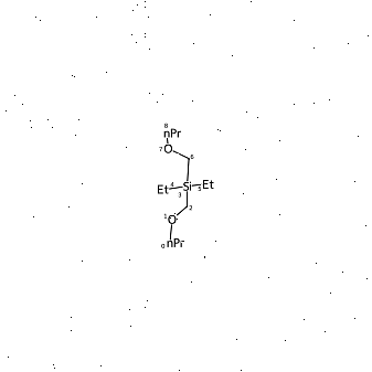 CCCOC[Si](CC)(CC)COCCC